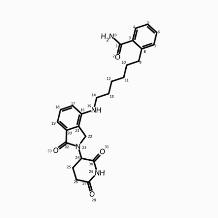 NC(=O)c1ccccc1CCCCCCNc1cccc2c1CN(C1CCC(=O)NC1=O)C2=O